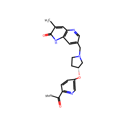 CNC(=O)c1ccc(O[C@@H]2CCN(Cc3cnc4cc(C)c(=O)[nH]c4c3)C2)cn1